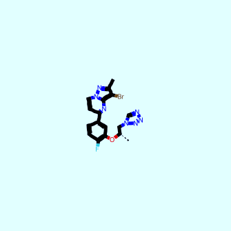 Cc1nn2ccc(-c3ccc(F)c(O[C@@H](C)Cn4cnnn4)c3)nc2c1Br